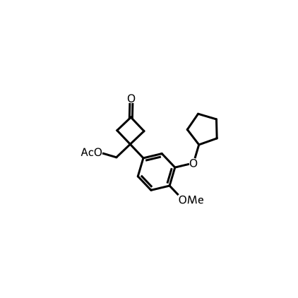 COc1ccc(C2(COC(C)=O)CC(=O)C2)cc1OC1CCCC1